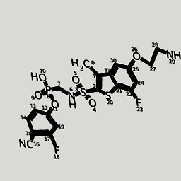 Cc1c(S(=O)(=O)NCP(=O)(O)Oc2ccc(C#N)c(F)c2)sc2c(F)cc(OCCN)cc12